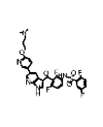 CN(C)CCCOc1ccc(-c2cnc3[nH]cc(C(=O)c4c(F)ccc(NS(=O)(=O)c5cc(F)ccc5F)c4F)c3c2)cn1